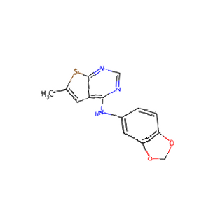 Cc1cc2c(Nc3ccc4c(c3)OCO4)ncnc2s1